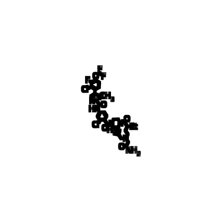 CCC(CCN(CC(N)=O)CC1CNC1)C(=O)N1CCN(C(=O)c2ccc(NC(=O)c3ncc(-c4ccc(OC(F)F)c(F)c4Cl)n3C)cc2Cl)CC1